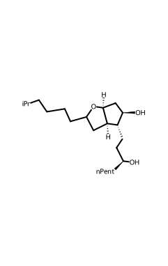 CCCCC[C@H](O)CC[C@@H]1[C@H]2CC(CCCCC(C)C)O[C@H]2C[C@H]1O